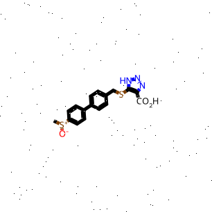 C[S+]([O-])c1ccc(-c2ccc(CSc3[nH]nnc3C(=O)O)cc2)cc1